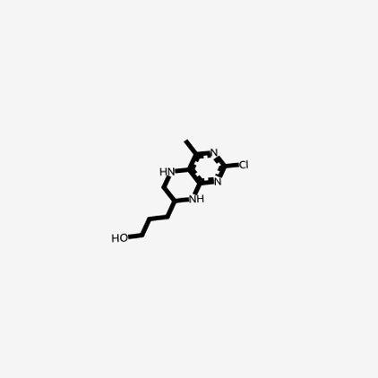 Cc1nc(Cl)nc2c1NCC(CCCO)N2